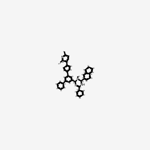 Cc1ccc(-c2ccc(-c3cc(-c4ccccc4)cc(C4N=C(c5ccccc5)NC(c5ccc6ccccc6c5)N4C)c3)cc2)c(I)n1